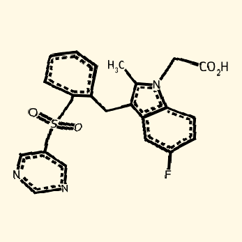 Cc1c(Cc2ccccc2S(=O)(=O)c2cncnc2)c2cc(F)ccc2n1CC(=O)O